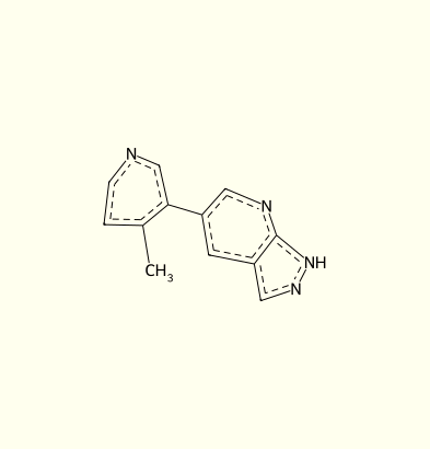 Cc1ccncc1-c1cnc2[nH]ncc2c1